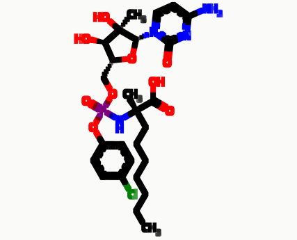 CCCCCCC[C@](C)(NP(=O)(OC[C@H]1O[C@@H](n2ccc(N)nc2=O)[C@](C)(O)[C@@H]1O)Oc1ccc(Cl)cc1)C(=O)O